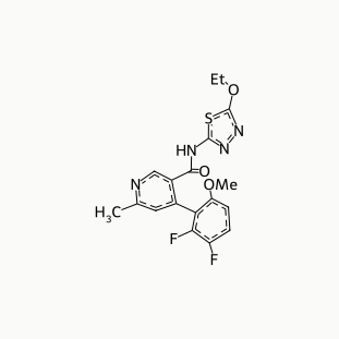 CCOc1nnc(NC(=O)c2cnc(C)cc2-c2c(OC)ccc(F)c2F)s1